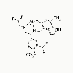 COc1cc(C)c2[nH]ccc2c1CN1CCN(CC(F)F)CC1c1ccc(C(=O)O)c(C(F)F)c1